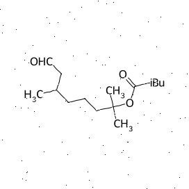 CCC(C)C(=O)OC(C)(C)CCCC(C)CC=O